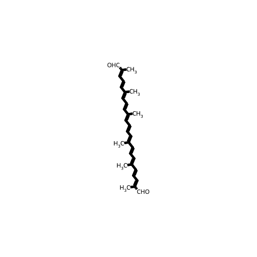 C\C(C=O)=C/C=C/C(C)=C/C=C/C(C)=C/C=C/C=C(C)/C=C/C=C(C)/C=C/C=C(\C)C=O